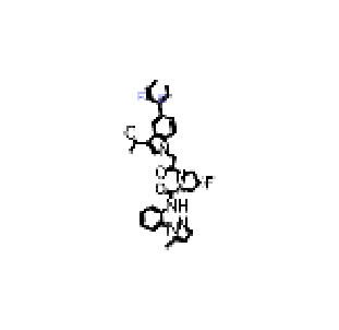 C/C=C\C(=C/C)c1ccc2c(c1)c(C(C)=O)cn2CC(=O)N1C[C@H](F)C[C@H]1C(=O)Nc1ccccc1-n1nccc1C